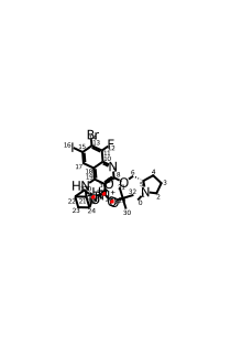 CN1CCC[C@H]1COc1nc2c(F)c(Br)c(I)cc2c(N[C@H]2C3CC2N(C(=O)OC(C)(C)C)C3)c1[N+](=O)[O-]